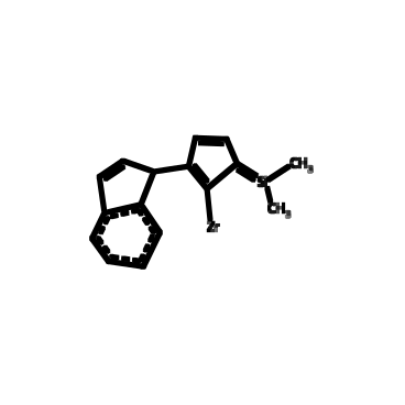 C[Si](C)=C1C=CC(C2C=Cc3ccccc32)=[C]1[Zr]